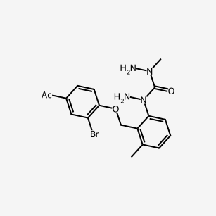 CC(=O)c1ccc(OCc2c(C)cccc2N(N)C(=O)N(C)N)c(Br)c1